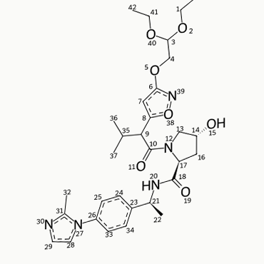 CCOC(COc1cc(C(C(=O)N2C[C@H](O)C[C@H]2C(=O)N[C@@H](C)c2ccc(-n3ccnc3C)cc2)C(C)C)on1)OCC